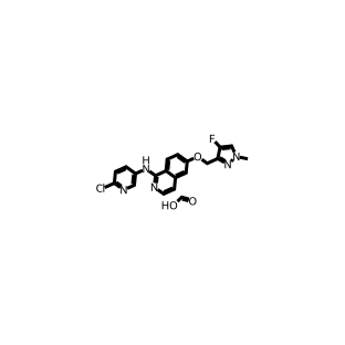 Cn1cc(F)c(COc2ccc3c(Nc4ccc(Cl)nc4)nccc3c2)n1.O=CO